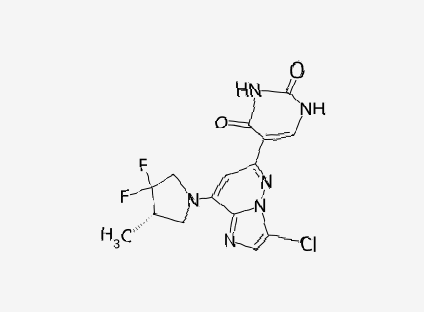 C[C@H]1CN(c2cc(-c3c[nH]c(=O)[nH]c3=O)nn3c(Cl)cnc23)CC1(F)F